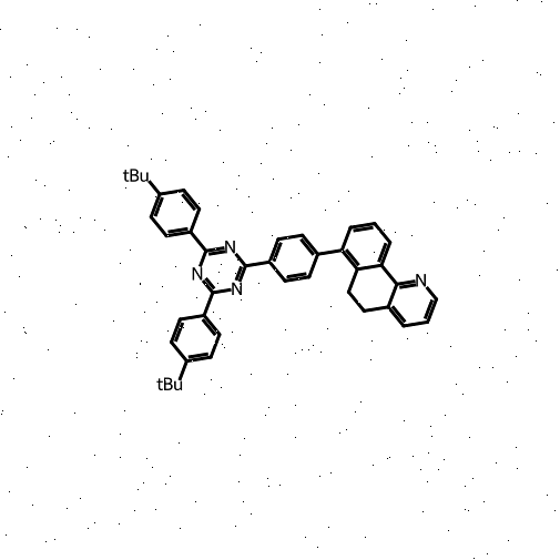 CC(C)(C)c1ccc(-c2nc(-c3ccc(-c4cccc5c4CCc4cccnc4-5)cc3)nc(-c3ccc(C(C)(C)C)cc3)n2)cc1